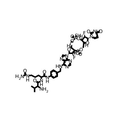 CC(C)C(N)C(=O)NC(CCCNC(N)=O)C(=O)Nc1ccc(CNc2ncnc3c2ncn3[C@@H]2O[C@@H]3COP(=O)(S)O[C@H]4[C@@H](F)[C@H](n5ccc(=O)[nH]c5=O)O[C@@H]4COP(=O)(O)[C@H]3[C@H]2F)cc1